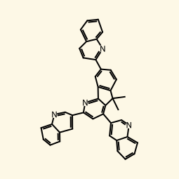 CC1(C)c2ccc(-c3ccc4ccccc4n3)cc2-c2nc(-c3cnc4ccccc4c3)cc(-c3cnc4ccccc4c3)c21